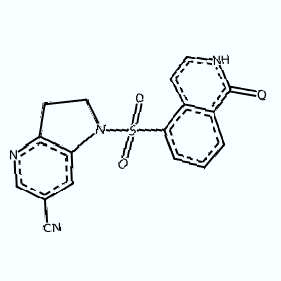 N#Cc1cnc2c(c1)N(S(=O)(=O)c1cccc3c(=O)[nH]ccc13)CC2